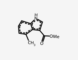 COC(=O)c1c[nH]c2cccc(C)c12